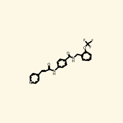 O=C(C=Cc1ccncc1)Nc1ccc(C(=O)NCc2ccccc2OC(F)(F)F)cc1